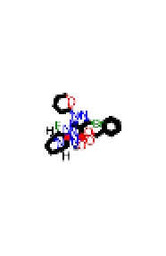 Cn1c(N2[C@@H]3CC[C@H]2[C@H](F)[C@@H](NC(=O)OCc2ccccc2)C3)nc2c(c(Br)nn2C2CCCCO2)c1=O